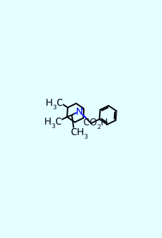 CC1CC2C(C(=O)O)CC1(C)C(C)N2Cc1ccccc1